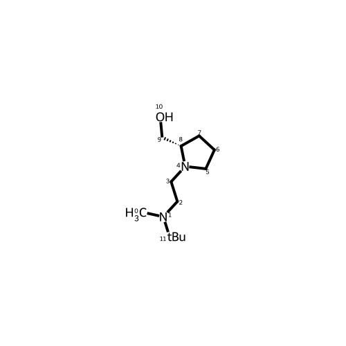 CN(CCN1CCC[C@H]1CO)C(C)(C)C